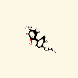 CCC1CCC(C2CCC(C)CC2)C(=O)C1